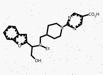 CCN(CC1CCN(c2ncc(C(=O)O)cn2)CC1)C(CO)c1cc2ccccc2o1